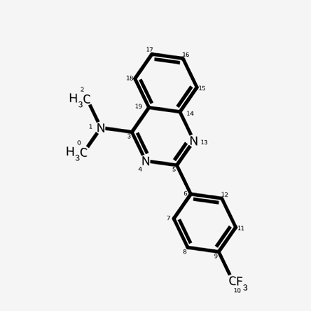 CN(C)c1nc(-c2ccc(C(F)(F)F)cc2)nc2ccccc12